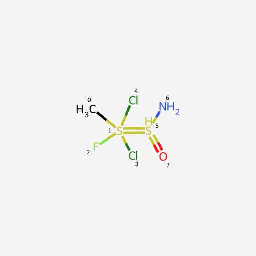 CS(F)(Cl)(Cl)=[SH](N)=O